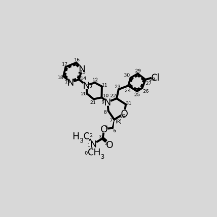 CN(C)C(=O)OC[C@H]1CN(C2CCN(c3ncccn3)CC2)C(Cc2ccc(Cl)cc2)CO1